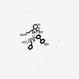 CC(C)(C)c1ccc(-c2cccc(S(=O)(=O)N[C@@H](Cc3ccccc3)C(=O)O)c2)cc1.CNCCCC(=O)C1CCNCC1C(=N)NO